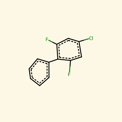 Fc1cc(Cl)cc(F)c1-c1ccccc1